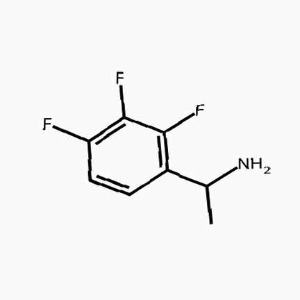 CC(N)c1ccc(F)c(F)c1F